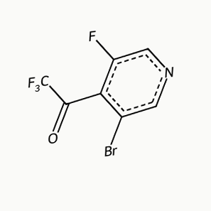 O=C(c1c(F)cncc1Br)C(F)(F)F